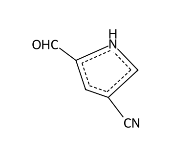 N#Cc1c[nH]c(C=O)c1